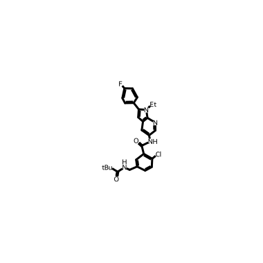 CCn1c(-c2ccc(F)cc2)cc2cc(NC(=O)c3cc(CNC(=O)C(C)(C)C)ccc3Cl)cnc21